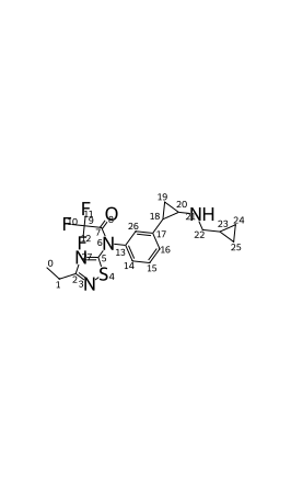 CCc1nsc(N(C(=O)C(F)(F)F)c2cccc(C3CC3NCC3CC3)c2)n1